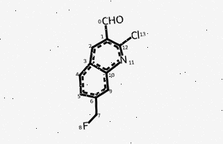 O=Cc1cc2ccc(CF)cc2nc1Cl